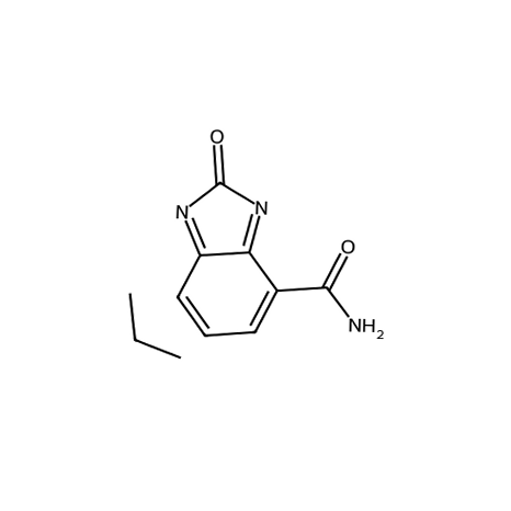 CCC.NC(=O)c1cccc2c1=NC(=O)N=2